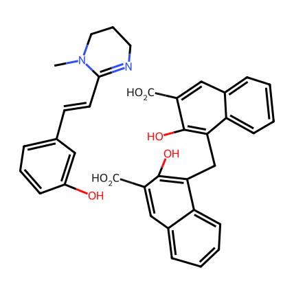 CN1CCCN=C1C=Cc1cccc(O)c1.O=C(O)c1cc2ccccc2c(Cc2c(O)c(C(=O)O)cc3ccccc23)c1O